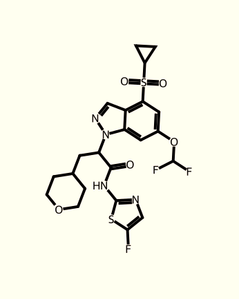 O=C(Nc1ncc(F)s1)C(CC1CCOCC1)n1ncc2c(S(=O)(=O)C3CC3)cc(OC(F)F)cc21